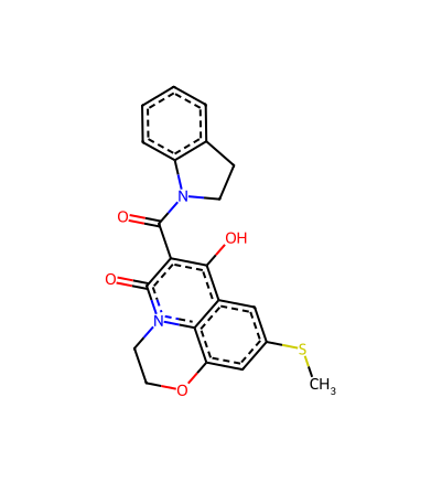 CSc1cc2c3c(c1)c(O)c(C(=O)N1CCc4ccccc41)c(=O)n3CCO2